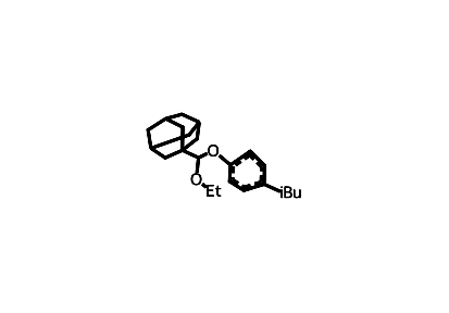 CCOC(Oc1ccc(C(C)CC)cc1)C12CC3CC(CC(C3)C1)C2